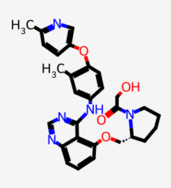 Cc1ccc(Oc2ccc(Nc3ncnc4cccc(OC[C@H]5CCCCN5C(=O)CO)c34)cc2C)cn1